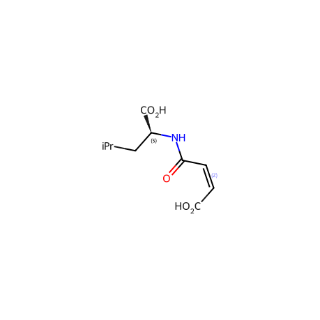 CC(C)C[C@H](NC(=O)/C=C\C(=O)O)C(=O)O